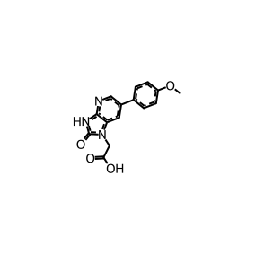 COc1ccc(-c2cnc3[nH]c(=O)n(CC(=O)O)c3c2)cc1